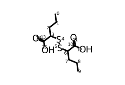 CCCC(SSC(CCC)C(=O)O)C(=O)O